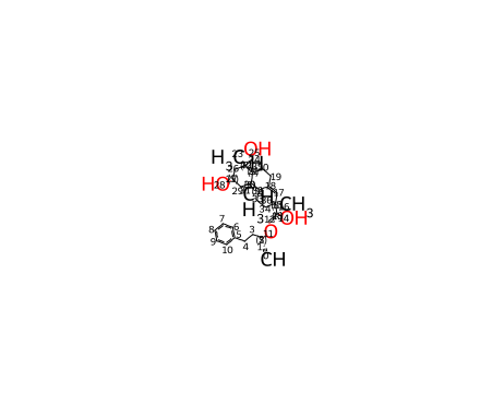 C#C[C@H](CCc1ccccc1)OC[C@H](O)[C@]1(C)C=C2CC[C@@H]3[C@](C)(CO)C[C@@H](O)C[C@@]3(C)[C@@H]2CC1